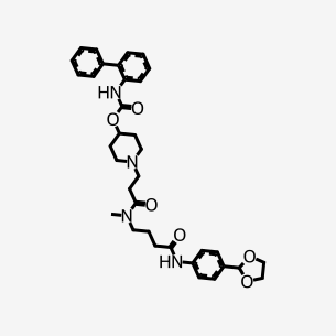 CN(CCCC(=O)Nc1ccc(C2OCCO2)cc1)C(=O)CCN1CCC(OC(=O)Nc2ccccc2-c2ccccc2)CC1